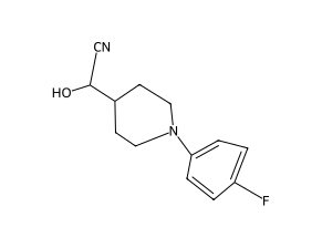 N#CC(O)C1CCN(c2ccc(F)cc2)CC1